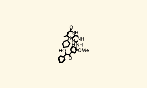 COc1cc(C(=O)C(O)c2ccccc2)ccc1NC1NCC2=C(N1)N(C1CCCCC1)C(C)=CC(=O)N2